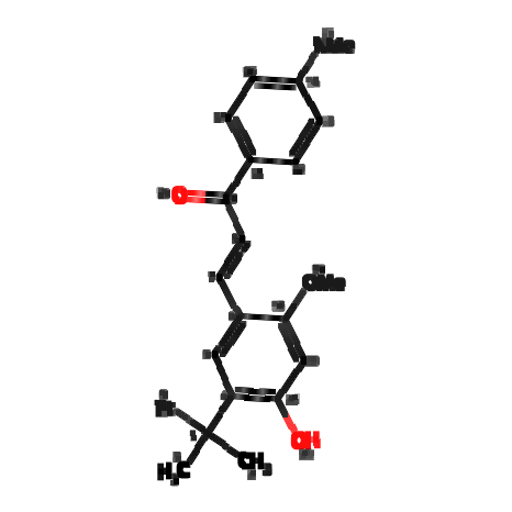 CCC(C)(C)c1cc(C=CC(=O)c2ccc(NC)cc2)c(OC)cc1O